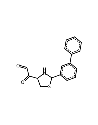 O=CC(=O)C1CSC(c2cccc(-c3ccccc3)c2)N1